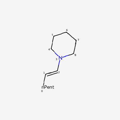 CCCCC/C=C/N1CCCCC1